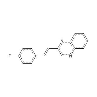 Fc1ccc(/C=C/c2cnc3ccccc3n2)cc1